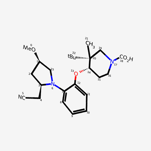 CO[C@@H]1C[C@H](CC#N)N(c2ccccc2O[C@H]2CCN(C(=O)O)C[C@@]2(C)C(C)(C)C)C1